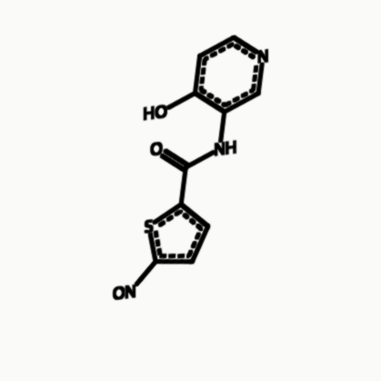 O=Nc1ccc(C(=O)Nc2cnccc2O)s1